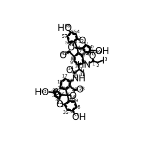 O=C(CI)Nc1cc2c(cc1C(I)C(=O)Nc1cccc3c1C(=O)OC31c3ccc(O)cc3Oc3cc(O)ccc31)C(=O)OC21c2ccc(O)cc2Oc2cc(O)ccc21